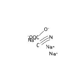 O=C([O-])[O-].[C-]#N.[Na+].[Na+].[Na+]